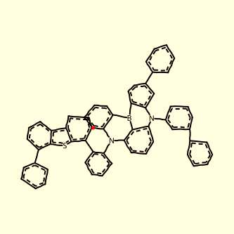 c1ccc(-c2cccc(N3c4cc(-c5ccccc5)ccc4B4c5ccccc5N(c5ccccc5-c5cccc6c5sc5c(-c7ccccc7)cccc56)c5cccc3c54)c2)cc1